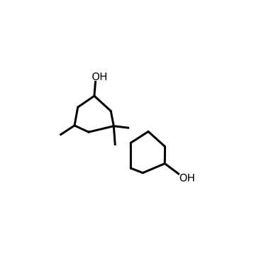 CC1CC(O)CC(C)(C)C1.OC1CCCCC1